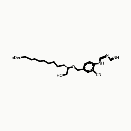 CCCCCCCCCCCCCCCCCCC[C@H](CO)OCc1ccc(N/C=N\C=N)c(C#N)c1